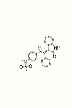 CN(c1ccc(NC(=C2C(=O)Nc3ccccc32)c2ccccc2)cc1)S(C)(=O)=O